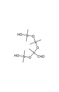 C[Si](C)(O)O[Si](C)(C)O[Si](C)(C=O)O[Si](C)(C)O